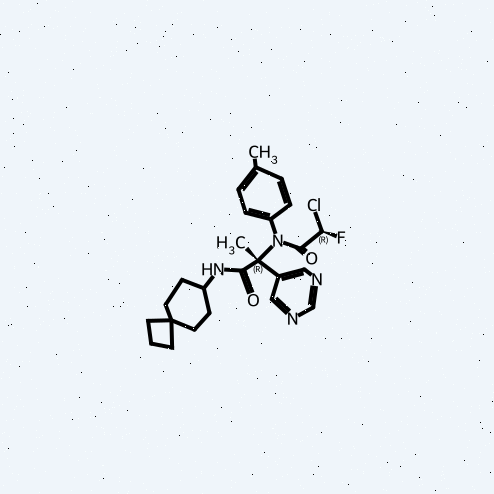 Cc1ccc(N(C(=O)[C@H](F)Cl)[C@@](C)(C(=O)NC2CCC3(CCC3)CC2)c2cncnc2)cc1